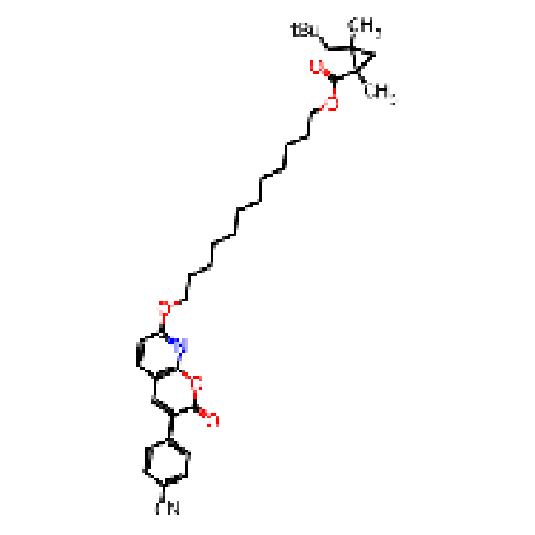 CC(C)(C)CC1(C)CC1(C)C(=O)OCCCCCCCCCCCCOc1ccc2cc(-c3ccc(C#N)cc3)c(=O)oc2n1